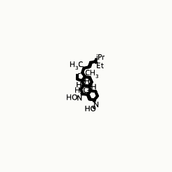 CCC(C=C[C@@H](C)[C@H]1CC[C@H]2[C@@H]3CC(=NO)C4=CC(=NO)CC[C@]4(C)[C@H]3CC[C@]12C)C(C)C